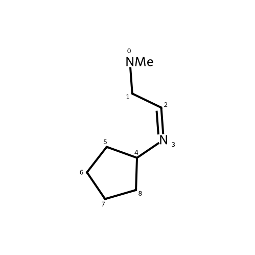 CNC/C=N\C1CCCC1